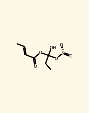 CC=CC(=O)OC(O)(CC)O[SH](=O)=O